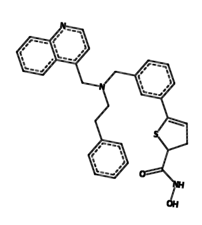 O=C(NO)C1CC=C(c2cccc(CN(CCc3ccccc3)Cc3ccnc4ccccc34)c2)S1